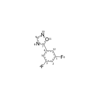 Fc1cc(F)cc(-c2ncno2)c1